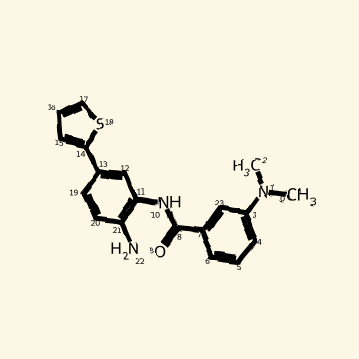 CN(C)c1cccc(C(=O)Nc2cc(-c3cccs3)ccc2N)c1